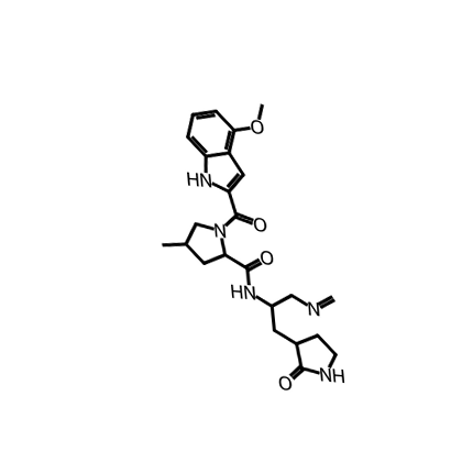 C=NCC(CC1CCNC1=O)NC(=O)C1CC(C)CN1C(=O)c1cc2c(OC)cccc2[nH]1